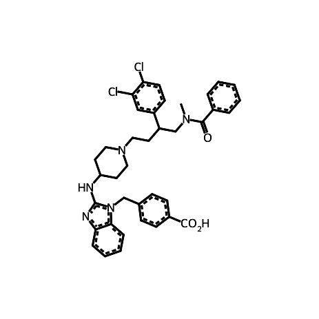 CN(CC(CCN1CCC(Nc2nc3ccccc3n2Cc2ccc(C(=O)O)cc2)CC1)c1ccc(Cl)c(Cl)c1)C(=O)c1ccccc1